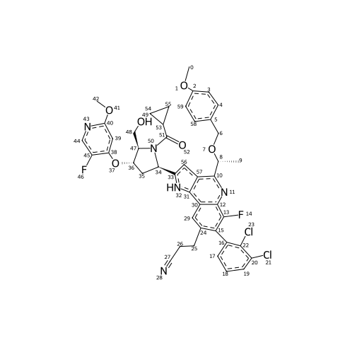 COc1ccc(CO[C@H](C)c2nc3c(F)c(-c4cccc(Cl)c4Cl)c(CCC#N)cc3c3[nH]c([C@H]4C[C@H](Oc5cc(OC)ncc5F)[C@@H](CO)N4C(=O)C4CC4)cc23)cc1